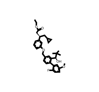 CCOC(=O)C[C@@H](CC1CC1)c1cccc(OCc2ccc(-c3cc(OC)ccc3F)c([C@H](O)C(C)(C)C)c2)c1